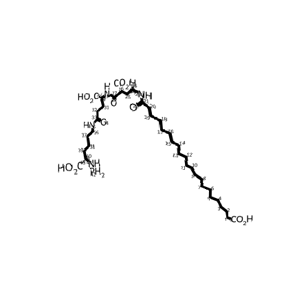 O=C(O)CCCCCCCCCCCCCCCCCCCCC(=O)N[C@@H](CCC(=O)N[C@@H](CCC(=O)NCCCC[C@H](NP)C(=O)O)C(=O)O)C(=O)O